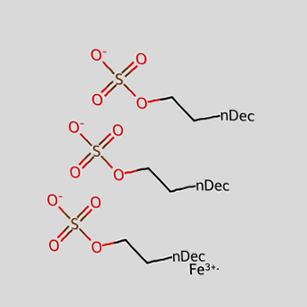 CCCCCCCCCCCCOS(=O)(=O)[O-].CCCCCCCCCCCCOS(=O)(=O)[O-].CCCCCCCCCCCCOS(=O)(=O)[O-].[Fe+3]